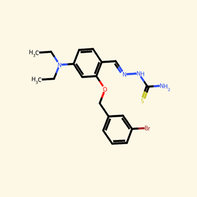 CCN(CC)c1ccc(/C=N/NC(N)=S)c(OCc2cccc(Br)c2)c1